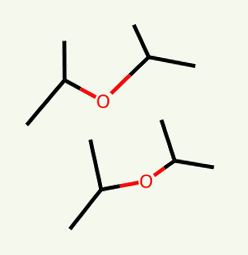 CC(C)OC(C)C.CC(C)OC(C)C